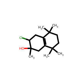 CC1(C)CCC(C)(C)C2=C1CC(Cl)C(C)(O)C2